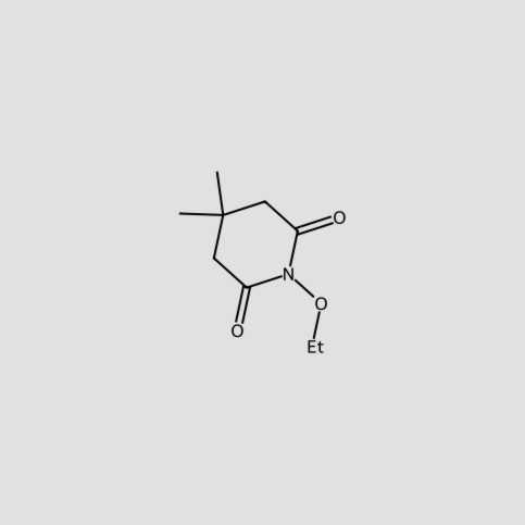 CCON1C(=O)CC(C)(C)CC1=O